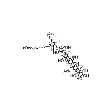 CCCCCCCCCCCCC/C=C/[C@@H](O)[C@H](CO[C@@H]1OC(CO)[C@@H](O[C@@H]2OC(CO)[C@H](O[C@@H]3OC(CO)[C@H](O)[C@H](O[C@@H]4OC(CO)[C@H](O[C@@H]5OC(CO)[C@H](O)[C@H](O)C5O)[C@H](O)C4NC(C)=O)C3O)[C@H](O)C2O)[C@H](O)C1O)NC(=O)CCCCCCCCCCCCCCCCCCC